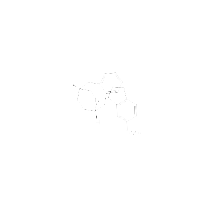 COc1ccc2c(c1)[C@H](N1C[C@@H]3CC[C@H]1Cc1ccccc1C3)CC2